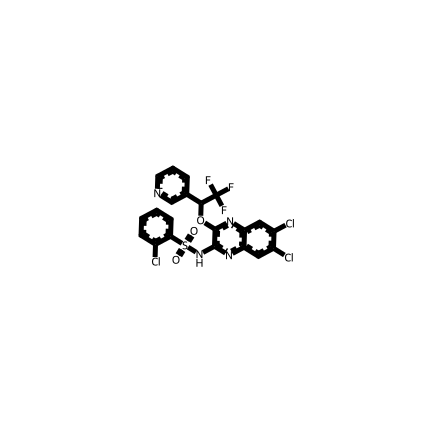 O=S(=O)(Nc1nc2cc(Cl)c(Cl)cc2nc1OC(c1cccnc1)C(F)(F)F)c1ccccc1Cl